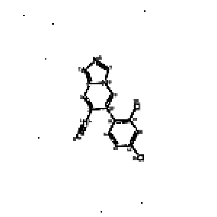 [C-]#[N+]c1cc2nncn2cc1-c1ccc(Cl)cc1Cl